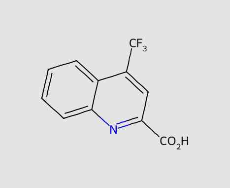 O=C(O)c1cc(C(F)(F)F)c2ccccc2n1